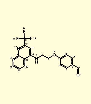 O=Cc1ccc(OCCNc2cc(C(F)(F)F)nc3ccccc23)cc1